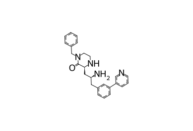 N[C@@H](Cc1cccc(-c2cccnc2)c1)C[C@@H]1NCCN(Cc2ccccc2)C1=O